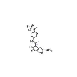 CCS(=O)(=O)N(C)c1ccc(N/C(C)=C2\C(=O)Nc3ccc(N)cc32)cc1